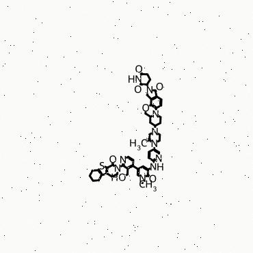 C[C@H]1CN(C2CCN3c4ccc5c(c4OCC3C2)CN(C2CCC(=O)NC2=O)C5=O)CCN1c1ccc(Nc2cc(-c3ccnc(N4CCc5c(sc6c5CCCC6)C4=O)c3CO)cn(C)c2=O)nc1